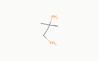 CC(C)(P)CP